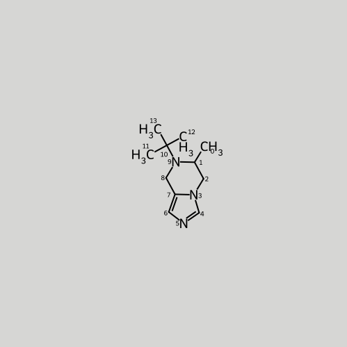 CC1Cn2cncc2CN1C(C)(C)C